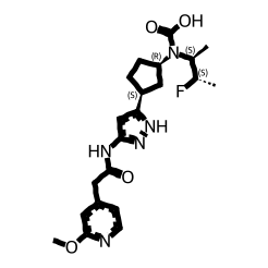 COc1cc(CC(=O)Nc2cc([C@H]3CC[C@@H](N(C(=O)O)[C@@H](C)[C@H](C)F)C3)[nH]n2)ccn1